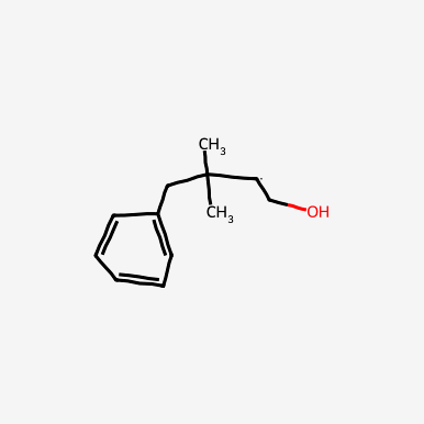 CC(C)([CH]CO)Cc1ccccc1